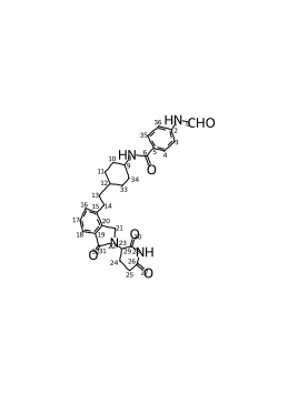 O=CNc1ccc(C(=O)NC2CCC(CCc3cccc4c3CN(C3CCC(=O)NC3=O)C4=O)CC2)cc1